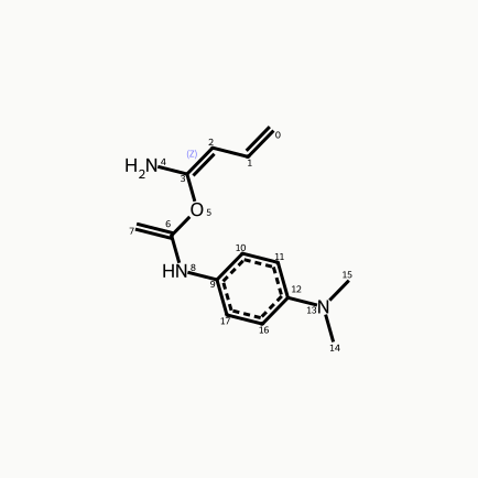 C=C/C=C(/N)OC(=C)Nc1ccc(N(C)C)cc1